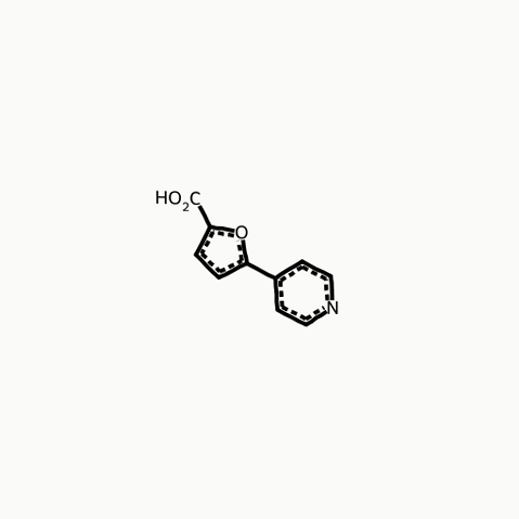 O=C(O)c1ccc(-c2ccncc2)o1